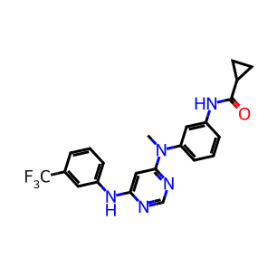 CN(c1cccc(NC(=O)C2CC2)c1)c1cc(Nc2cccc(C(F)(F)F)c2)ncn1